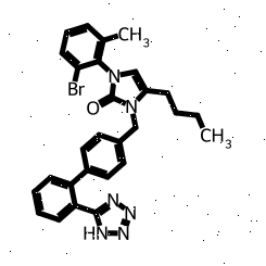 CCCCc1cn(-c2c(C)cccc2Br)c(=O)n1Cc1ccc(-c2ccccc2-c2nnn[nH]2)cc1